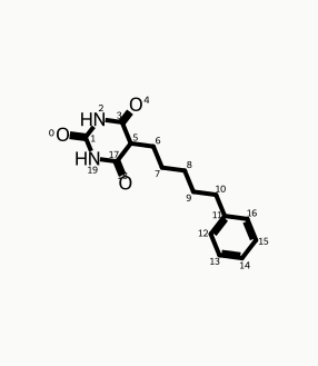 O=C1NC(=O)C(CCCCCc2ccccc2)C(=O)N1